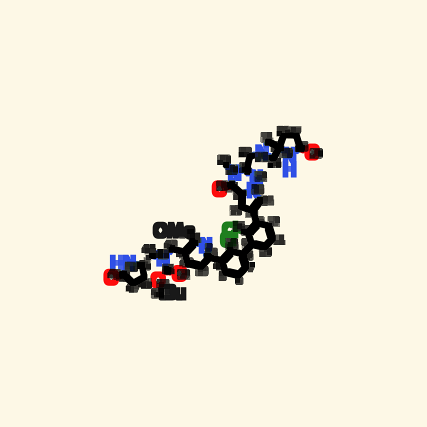 COc1nc(-c2cccc(-c3cccc(-c4cc5c(=O)n(C)c(CN6CC7(CCC(=O)N7)C6)nn5c4)c3Cl)c2Cl)ccc1CN(C[C@@H]1CCC(=O)N1)C(=O)OC(C)(C)C